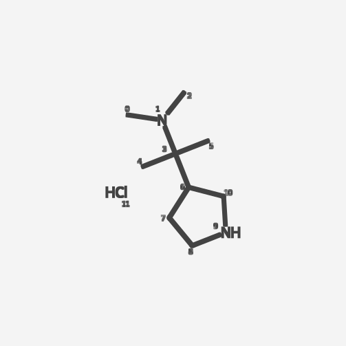 CN(C)C(C)(C)C1CCNC1.Cl